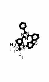 C=C1OB(c2ccc3sc4cccc(-c5nc(-c6ccccc6)nc(-c6ccccc6)n5)c4c3c2)OC1(C)C